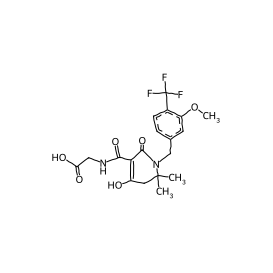 COc1cc(CN2C(=O)C(C(=O)NCC(=O)O)=C(O)CC2(C)C)ccc1C(F)(F)F